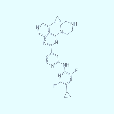 Fc1cc(C2CC2)c(F)nc1Nc1cc(-c2nc(N3CCNCC3)c3c(C4CC4)cncc3n2)ccn1